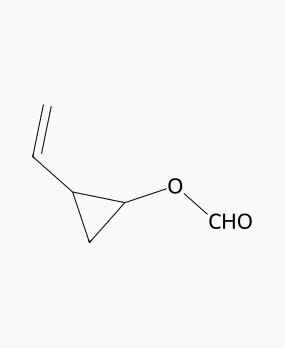 C=CC1CC1OC=O